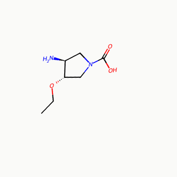 CCO[C@H]1CN(C(=O)O)C[C@@H]1N